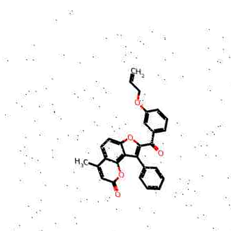 C=CCOc1cccc(C(=O)c2oc3ccc4c(C)cc(=O)oc4c3c2-c2ccccc2)c1